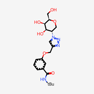 CC(C)(C)NC(=O)c1cccc(OCc2cn([C@H]3CO[C@H](CO)[C@H](O)[C@@H]3O)nn2)c1